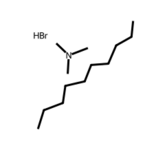 Br.CCCCCCCCCC.CN(C)C